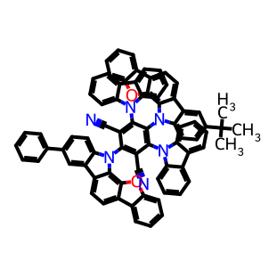 CC(C)(C)c1ccc2c(c1)c1ccc3c4ccccc4oc3c1n2-c1c(-n2c3ccccc3c3ccccc32)c(C#N)c(-n2c3ccc(-c4ccccc4)cc3c3ccc4c5ccccc5oc4c32)c(C#N)c1-n1c2ccccc2c2ccccc21